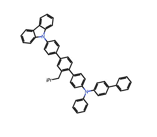 CC(C)Cc1cc(-c2ccc(-n3c4ccccc4c4ccccc43)cc2)ccc1-c1ccc(N(c2ccccc2)c2ccc(-c3ccccc3)cc2)cc1